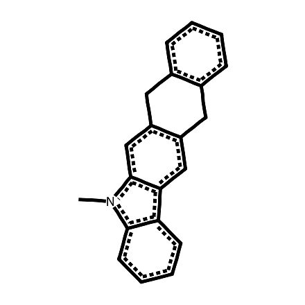 Cn1c2ccccc2c2cc3c(cc21)Cc1ccccc1C3